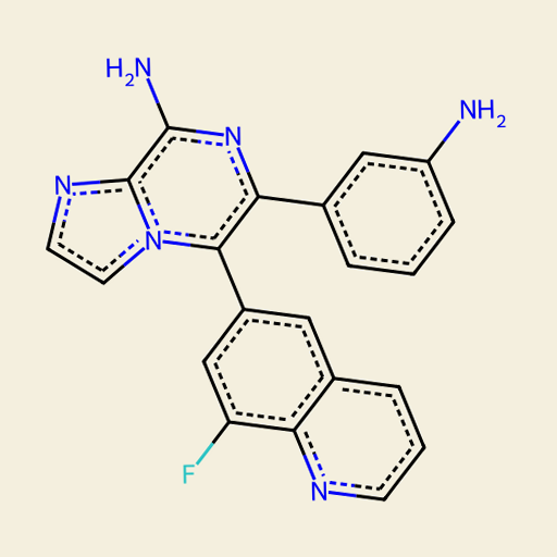 Nc1cccc(-c2nc(N)c3nccn3c2-c2cc(F)c3ncccc3c2)c1